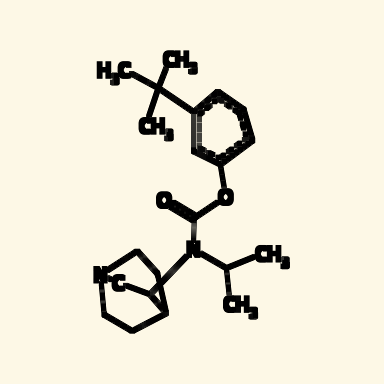 CC(C)N(C(=O)Oc1cccc(C(C)(C)C)c1)C1CN2CCC1CC2